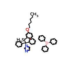 CCCCCCOc1cccc([SiH2]C(c2ccccc2)(c2ccccc2)n2ccnc2)c1.c1ccc(B(c2ccccc2)c2ccccc2)cc1